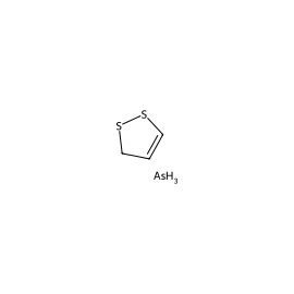 C1=CSSC1.[AsH3]